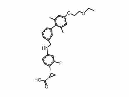 CCOCCOc1cc(C)c(-c2cccc(CNc3ccc([C@@H]4C[C@H]4C(=O)O)c(F)c3)c2)c(C)c1